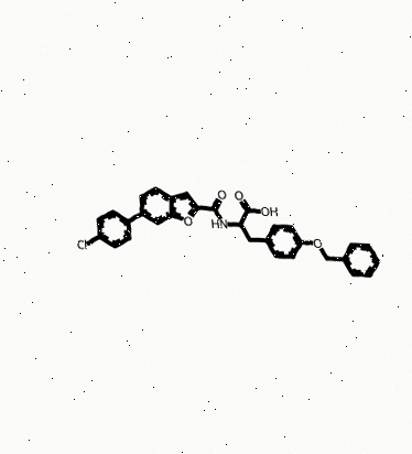 O=C(NC(Cc1ccc(OCc2ccccc2)cc1)C(=O)O)c1cc2ccc(-c3ccc(Cl)cc3)cc2o1